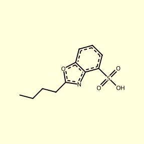 CCCCc1nc2c(S(=O)(=O)O)cccc2o1